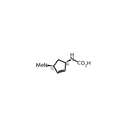 CN[C@@H]1C=C[C@H](NC(=O)O)C1